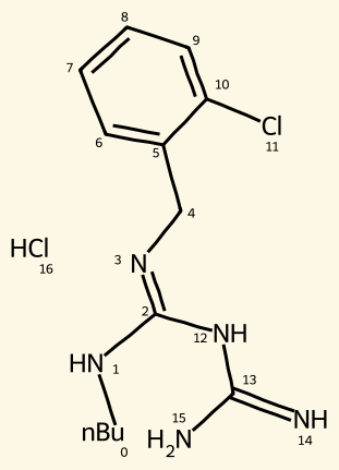 CCCCNC(=NCc1ccccc1Cl)NC(=N)N.Cl